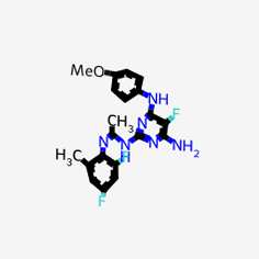 COc1ccc(Nc2nc(N/C(C)=N\c3c(C)cc(F)cc3F)nc(N)c2F)cc1